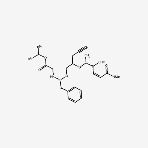 C#CCC(COP(NCC(=O)OC(CCC)CCC)Oc1ccccc1)OC(C)N(C=O)/C=C\C(=O)NC